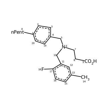 CCCCCc1ccc(CN(CCC(=O)O)Cc2cc(C)ccc2F)cc1